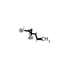 C=CCC1(Br)CC1Br